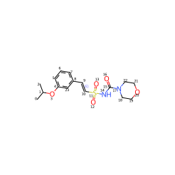 CC(C)Oc1cccc(/C=C/S(=O)(=O)NC(=O)N2CCOCC2)c1